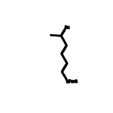 CCCCCCCCCC(C)C(C)=O